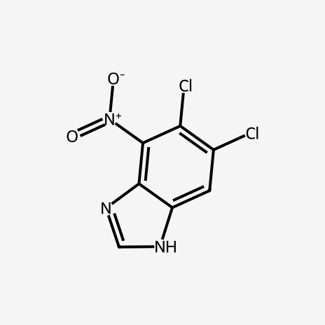 O=[N+]([O-])c1c(Cl)c(Cl)cc2[nH]cnc12